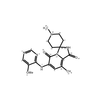 COc1cncnc1Nc1cc(C)c2n(c1=O)C1(CCN(C)CC1)NC2=O